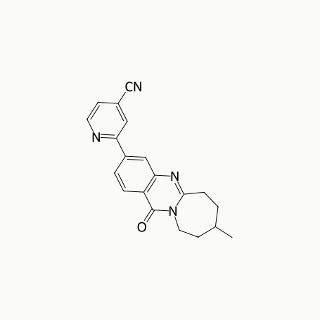 CC1CCc2nc3cc(-c4cc(C#N)ccn4)ccc3c(=O)n2CC1